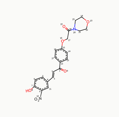 O=C(/C=C/c1ccc(O)c([N+](=O)[O-])c1)c1ccc(OCC(=O)N2CCOCC2)cc1